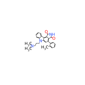 Cc1ccccc1-c1cc2c(c3c1C(=O)NC3=O)c1ccccc1n2CCCN(C)C